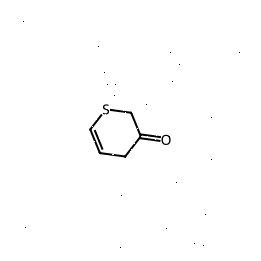 O=C1CC=CSC1